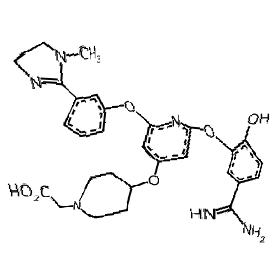 CN1CCN=C1c1cccc(Oc2cc(OC3CCN(CC(=O)O)CC3)cc(Oc3cc(C(=N)N)ccc3O)n2)c1